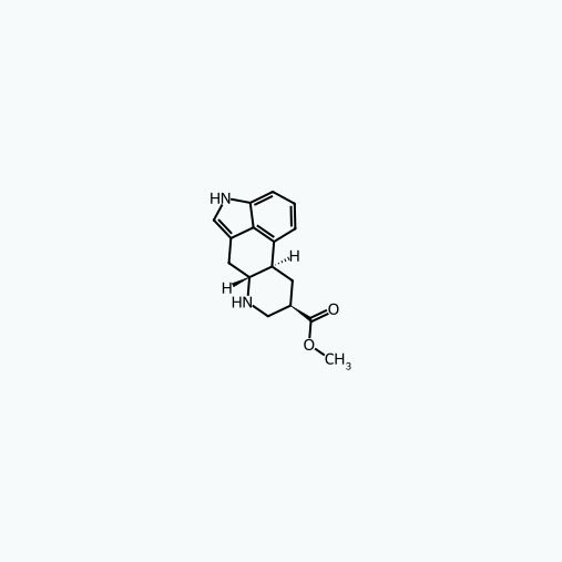 COC(=O)[C@H]1CN[C@@H]2Cc3c[nH]c4cccc(c34)[C@H]2C1